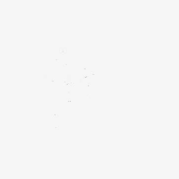 CCCCCN1CCC[C@]2([S+]([O-])c3ccc(Cl)cc3)c3c(F)ccc(F)c3OC[C@H]12